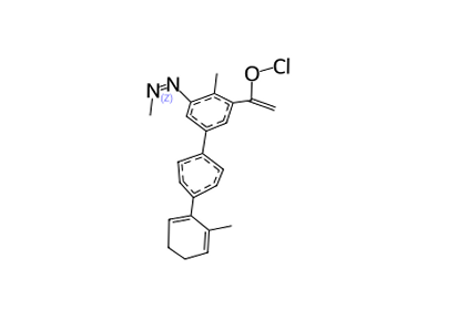 C=C(OCl)c1cc(-c2ccc(C3=CCCC=C3C)cc2)cc(/N=N\C)c1C